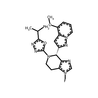 COc1cccn2nc([C@@H]3c4ncn(F)c4CCN3c3nnc(C(C)P)o3)cc12